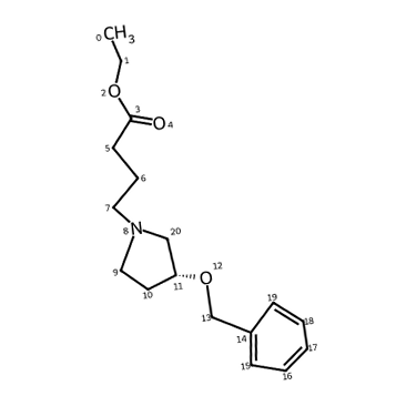 CCOC(=O)CCCN1CC[C@@H](OCc2ccccc2)C1